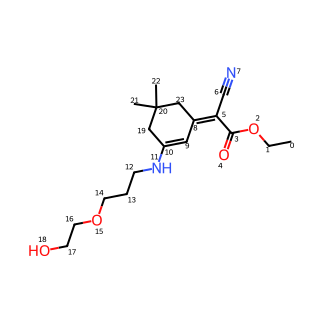 CCOC(=O)/C(C#N)=C1\C=C(NCCCOCCO)CC(C)(C)C1